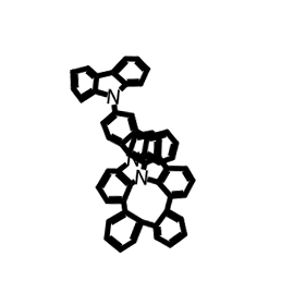 c1ccc2c(c1)c1ccccc1c1cccc3c4ccccc4n(c4c(-n5c6ccccc6c6cc(-n7c8ccccc8c8ccccc87)ccc65)cccc24)c13